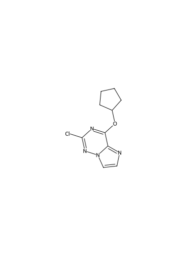 Clc1nc(OC2CCCC2)c2nccn2n1